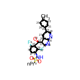 CCCS(=O)(=O)Nc1ccc(F)c(C(=O)C2C=Nc3ncc(-c4ccc(C)cc4)cc32)c1F